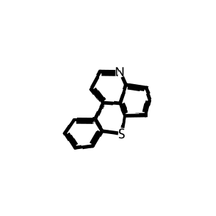 c1ccc2c(c1)Sc1cccc3nccc-2c13